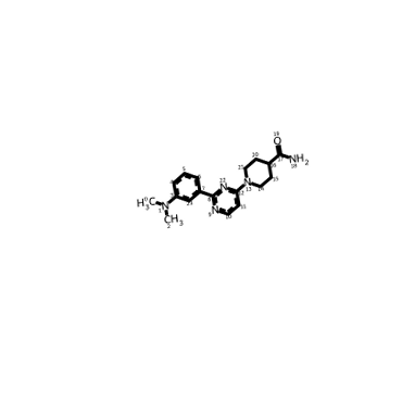 CN(C)c1cccc(-c2nccc(N3CCC(C(N)=O)CC3)n2)c1